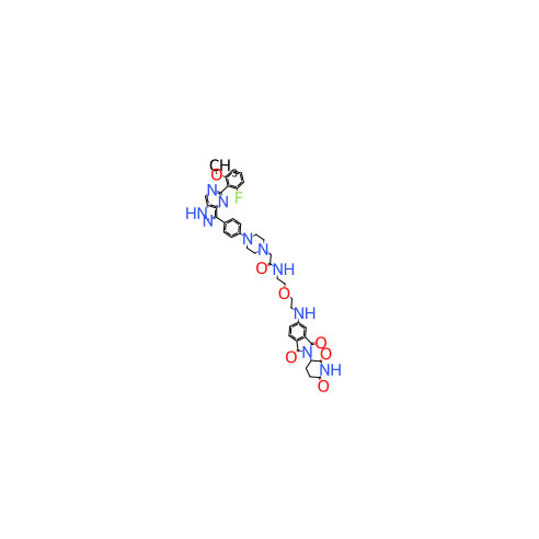 COc1cccc(F)c1-c1ncc2[nH]nc(-c3ccc(N4CCN(CC(=O)NCCOCCNc5ccc6c(c5)C(=O)N(C5CCC(=O)NC5=O)C6=O)CC4)cc3)c2n1